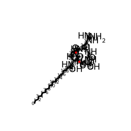 CCCCCCCCCCCCCCCCCCCCC(=O)NC[C@@H]1C[C@@H]2CC[C@H]3C(=O)N[C@@H](CCCNC(=N)N)C(=O)NCC(=O)N[C@@H](CC(=O)O)C(=O)N[C@H]1C(=O)N23